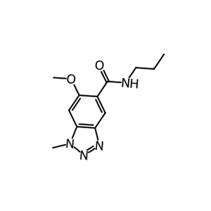 CCCNC(=O)c1cc2nnn(C)c2cc1OC